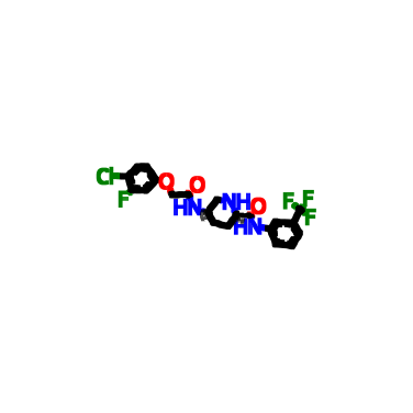 O=C(COc1ccc(Cl)c(F)c1)N[C@H]1CC[C@H](C(=O)Nc2cccc(C(F)(F)F)c2)NC1